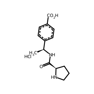 C[C@H](NC(=O)[C@H]1CCCN1)c1ccc(C(=O)O)cc1.Cl